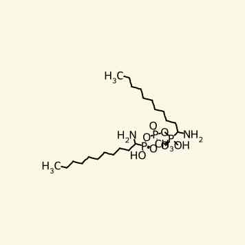 CCCCCCCCCCC(N)P(=O)(O)OP(C)(=O)OP(=O)(O)C(N)CCCCCCCCCC